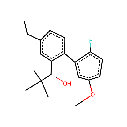 CCc1ccc(-c2cc(OC)ccc2F)c([C@H](O)C(C)(C)C)c1